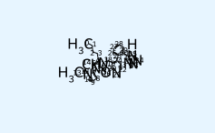 CCCCc1cn(-c2cccn2C(C)C)c(=O)n1Cc1cnccc1-c1ccccc1-c1nnn[nH]1